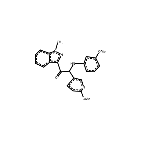 COc1cccc(NC(C(=O)c2nn(C)c3ccccc23)c2ccc(OC)nc2)c1